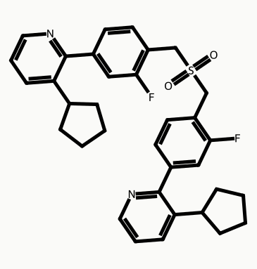 O=S(=O)(Cc1ccc(-c2ncccc2C2CCCC2)cc1F)Cc1ccc(-c2ncccc2C2CCCC2)cc1F